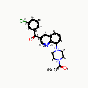 CC(C)COC(=O)N1CCN(c2cccc3cc(C(=O)c4cccc(Cl)c4)cnc23)CC1